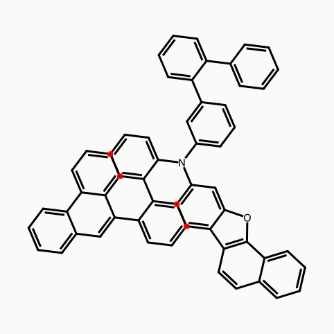 c1ccc(-c2ccccc2-c2cccc(N(c3ccc4c(c3)oc3c5ccccc5ccc43)c3ccccc3-c3ccccc3-c3cc4ccccc4c4ccccc34)c2)cc1